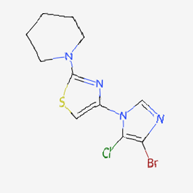 Clc1c(Br)ncn1-c1csc(N2CCCCC2)n1